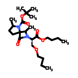 CCCCOC[C@@H](C(=O)OCCCC)N1C(=O)C2(CCC(C)N2C(=O)OC(C)(C)C)C1C